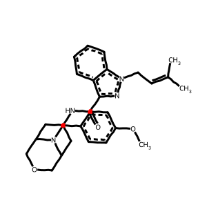 COc1ccc(CN2C3COCC2CC(NC(=O)c2nn(CC=C(C)C)c4ccccc24)C3)cc1